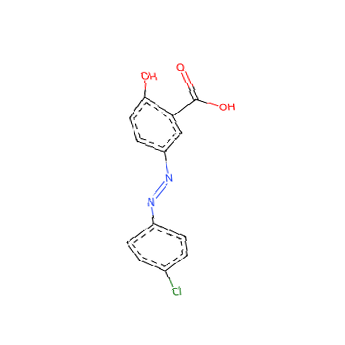 O=C(O)c1cc(N=Nc2ccc(Cl)cc2)ccc1O